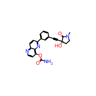 CN1CC[C@@](O)(C#Cc2cccc(-c3ccc4nccc(OC(N)=O)c4n3)c2)C1=O